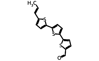 CC=Cc1ccc(-c2ccc(-c3ccc(C=O)s3)s2)s1